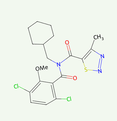 COc1c(Cl)ccc(Cl)c1C(=O)N(CC1CCCCC1)C(=O)c1snnc1C